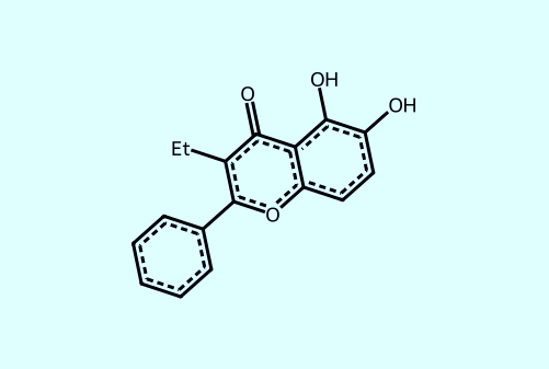 CCc1c(-c2ccccc2)oc2ccc(O)c(O)c2c1=O